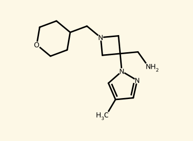 Cc1cnn(C2(CN)CN(CC3CCOCC3)C2)c1